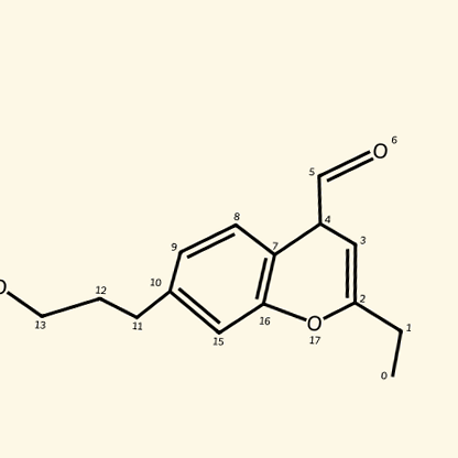 CCC1=CC(C=O)c2ccc(CCCO)cc2O1